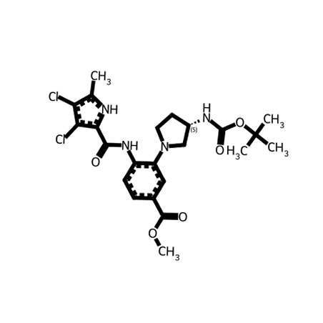 COC(=O)c1ccc(NC(=O)c2[nH]c(C)c(Cl)c2Cl)c(N2CC[C@H](NC(=O)OC(C)(C)C)C2)c1